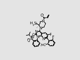 C=CC(=O)N1CCN(c2nc(=O)n(-c3ccccc3S(=O)(=O)C(C)C)c3nc(-c4c(O)cccc4F)c(F)cc23)[C@@](C)([SiH3])C1